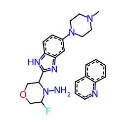 CN1CCN(c2ccc3[nH]c(C4COCC(F)N4N)nc3c2)CC1.c1ccc2ncccc2c1